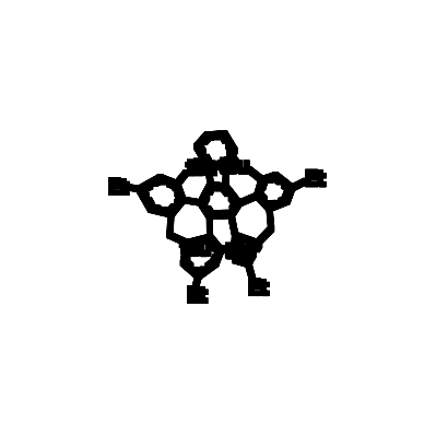 CCc1cc2c(c(C(C)(C)C)c1)-c1c3c(c4c(c1-c1c(cc(CC)cc1C(C)(C)C)C2)-c1c(cc(CC)cc1C(C)(C)C)Cc1cc(CC)cc(C(C)(C)C)c1-4)-c1ccccc1-3